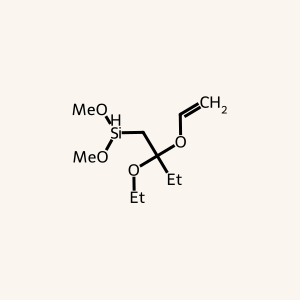 C=COC(CC)(C[SiH](OC)OC)OCC